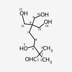 CC(C)(C=O)C(O)CCC(CO)(CO)CO